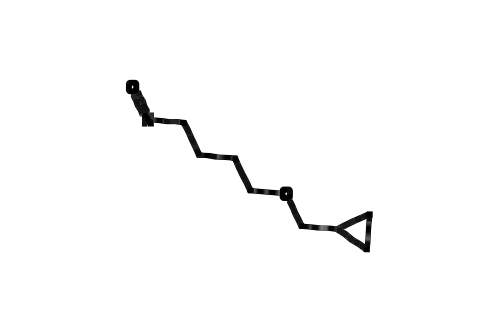 O=NCCCCOCC1CC1